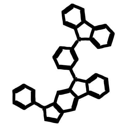 c1ccc(-n2ccc3cc4c5ccccc5n(-c5cccc(-n6c7ccccc7c7ccccc76)c5)c4cc32)cc1